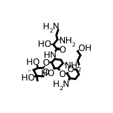 C[C@@H]1C(O)[C@@H](OC2C(O)C(O[C@H]3O[C@H](CCCCO)CCC3N)[C@@H](N)C[C@H]2NC(=O)[C@@H](O)[C@@H](N)CCN)OCC1(C)O